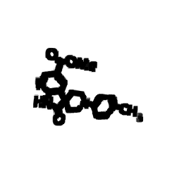 COC(=O)c1cnc2c(c1)C1(CCN(c3ccc(C)cc3)CC1)C(=O)N2